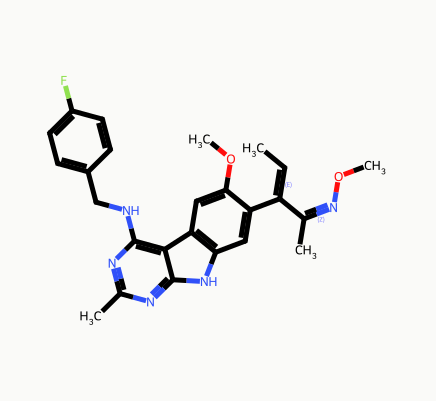 C/C=C(/C(C)=N\OC)c1cc2[nH]c3nc(C)nc(NCc4ccc(F)cc4)c3c2cc1OC